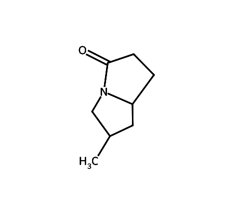 CC1CC2CCC(=O)N2C1